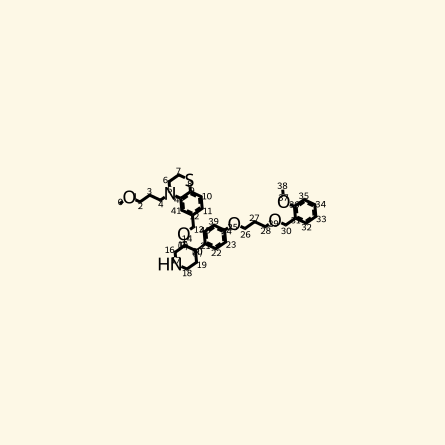 COCCCN1CCSc2ccc(CO[C@H]3CNCC[C@@H]3c3ccc(OCCCOCc4ccccc4OC)cc3)cc21